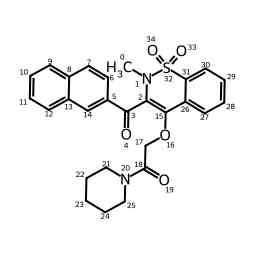 CN1C(C(=O)c2ccc3ccccc3c2)=C(OCC(=O)N2CCCCC2)c2ccccc2S1(=O)=O